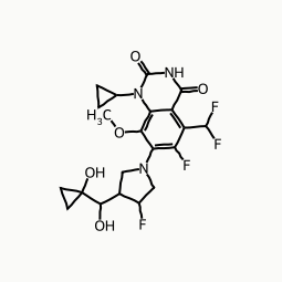 COc1c(N2CC(F)C(C(O)C3(O)CC3)C2)c(F)c(C(F)F)c2c(=O)[nH]c(=O)n(C3CC3)c12